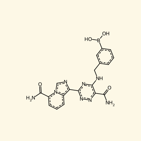 NC(=O)c1nnc(-c2ncn3c(C(N)=O)cccc23)nc1NCc1cccc(B(O)O)c1